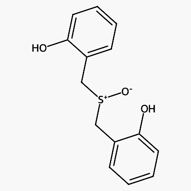 [O-][S+](Cc1ccccc1O)Cc1ccccc1O